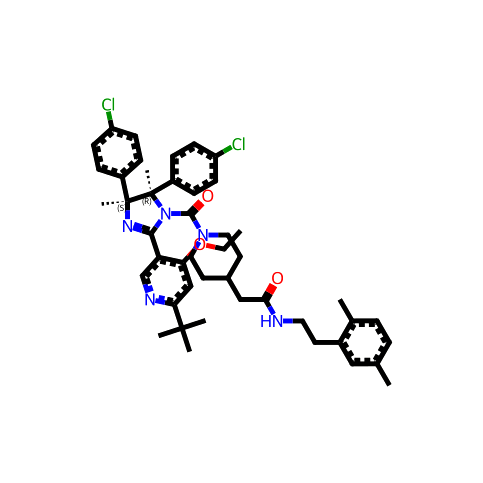 CCOc1cc(C(C)(C)C)ncc1C1=N[C@@](C)(c2ccc(Cl)cc2)[C@@](C)(c2ccc(Cl)cc2)N1C(=O)N1CCC(CC(=O)NCCc2cc(C)ccc2C)CC1